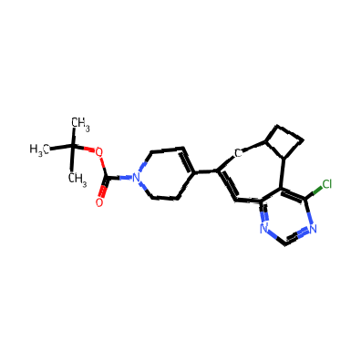 CC(C)(C)OC(=O)N1CC=C(C2=Cc3ncnc(Cl)c3C3CCC3C2)CC1